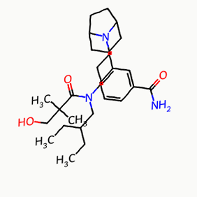 CCC(CC)CN(CCCN1C2CCC1CC(c1cccc(C(N)=O)c1)C2)C(=O)C(C)(C)CO